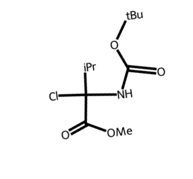 COC(=O)C(Cl)(NC(=O)OC(C)(C)C)C(C)C